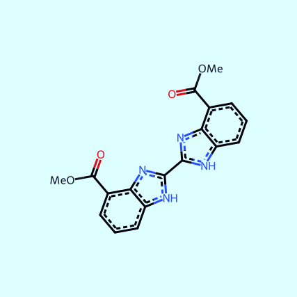 COC(=O)c1cccc2[nH]c(-c3nc4c(C(=O)OC)cccc4[nH]3)nc12